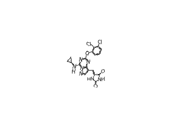 O=C1NC(=O)/C(=C/c2cnn3c(NC4CC4)nc(Oc4cccc(Cl)c4Cl)nc23)N1